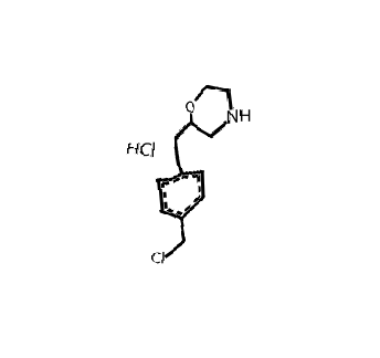 Cl.ClCc1ccc(CC2CNCCO2)cc1